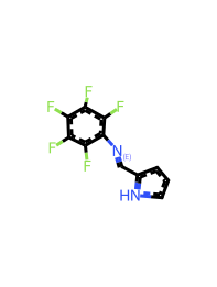 Fc1c(F)c(F)c(/N=C/c2ccc[nH]2)c(F)c1F